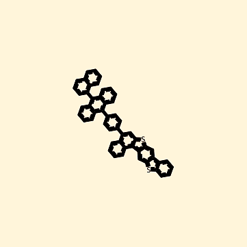 c1ccc2c(-c3c4ccccc4c(-c4ccc(-c5cc6sc7cc8c(cc7c6c6ccccc56)sc5ccccc58)cc4)c4ccccc34)cccc2c1